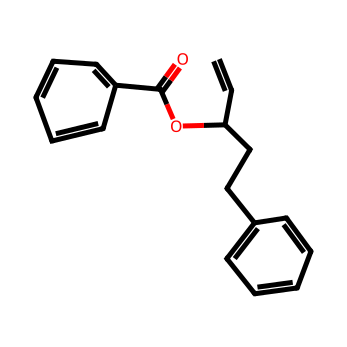 C=CC(CCc1ccccc1)OC(=O)c1ccccc1